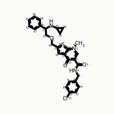 Cn1cc(C(=O)NCc2ccc(Cl)cc2)c(=O)c2cc(COCC(NC3CC3)c3ccccc3)sc21